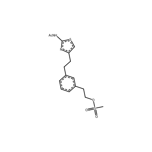 CC(=O)Nc1nc(CCc2cccc(CCOS(C)(=O)=O)c2)cs1